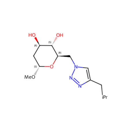 CO[C@@H]1C[C@@H](O)[C@H](O)[C@@H](Cn2cc(CC(C)C)nn2)O1